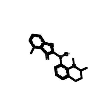 Cc1cccc2nc([S+]([O-])c3cccc4c3N(C)C(C)CC4)[nH]c12